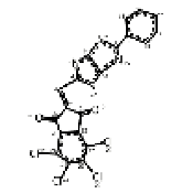 O=C1C(=Cc2nc3sc(-c4ccccc4)nc3s2)C(=O)c2c(Cl)c(Cl)c(Cl)c(Cl)c21